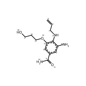 C=CCNc1c(N)cc(C(N)=O)cc1OCCCO